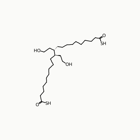 O=C(S)CCCCCCCCC[C@@H](CCO)[C@@H](CCO)CCCCCCCCCC(=O)S